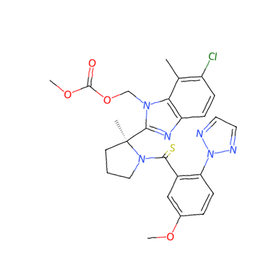 COC(=O)OCn1c([C@]2(C)CCCN2C(=S)c2cc(OC)ccc2-n2nccn2)nc2ccc(Cl)c(C)c21